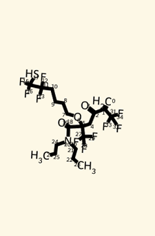 C=C(C(=O)CC(OCCCCC(F)(F)C(F)(F)S)(C(=O)N(CCC)CCC)C(F)(F)F)C(F)(F)F